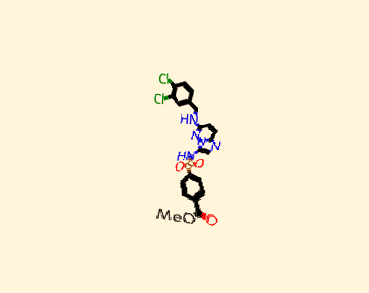 COC(=O)c1ccc(S(=O)(=O)Nc2cnc3ccc(NCc4ccc(Cl)c(Cl)c4)nn23)cc1